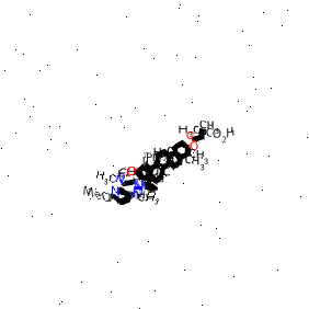 COc1ccc(N(C)N(CCN(C)C)/C(=C\C=O)C23CC[C@]4(C)C(CCC5C6(C)CCC(OC(=O)CC(C)(C)C(=O)O)C(C)(C)C6CCC54C)C2=C(C(C)C)C(=O)C3)cn1